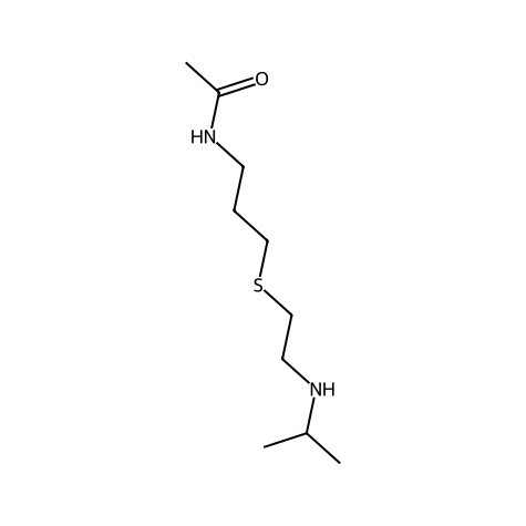 CC(=O)NCCCSCCNC(C)C